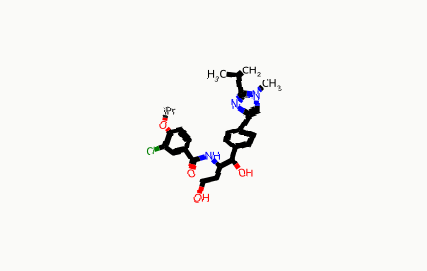 C=C(C)c1nc(-c2ccc(C(O)C(CCO)NC(=O)c3ccc(OC(C)C)c(Cl)c3)cc2)cn1C